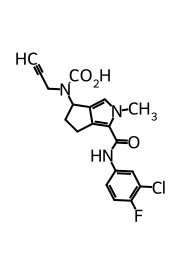 C#CCN(C(=O)O)C1CCc2c1cn(C)c2C(=O)Nc1ccc(F)c(Cl)c1